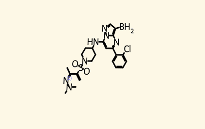 Bc1cnn2c(NC3CCN(S(=O)(=O)C(=C)/C(C)=N\N(C)C)CC3)cc(-c3ccccc3Cl)nc12